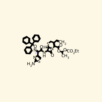 C=CC1=C(C(=O)OC(C)OC(=O)OCC)N2C(=O)C(NC(=O)/C(=N\OC(c3ccccc3)(c3ccccc3)c3ccccc3)c3csc(N)n3)[C@@H]2SC1